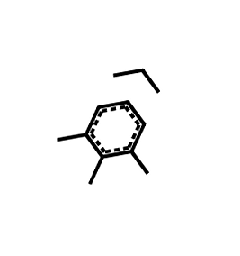 CCC.Cc1cccc(C)c1C